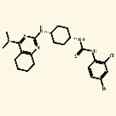 CN(C)c1nc(N[C@H]2CC[C@@H](NC(=S)Nc3ccc(Br)cc3Cl)CC2)nc2c1CCCC2